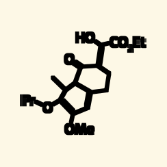 CCOC(=O)/C(O)=C1\CCC2=CC(OC)=C(OC(C)C)C(C)C2C1=O